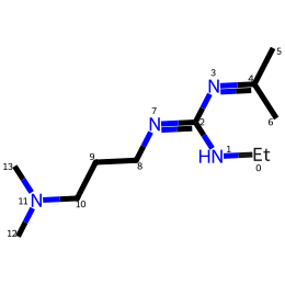 CCN/C(N=C(C)C)=N\CCCN(C)C